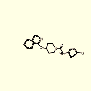 O=C(Nc1ccc(Cl)cc1)N1CCC(Oc2nccc3ccccc23)CC1